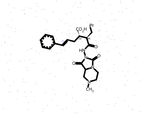 CC(C)C[C@@H](C(=O)NN1C(=O)C2CN(C)CCN2C1=O)[C@H](C/C=C/c1ccccc1)C(=O)O